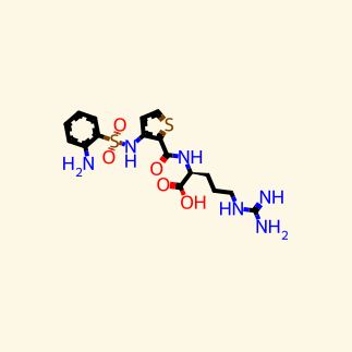 N=C(N)NCCC[C@H](NC(=O)c1sccc1NS(=O)(=O)c1ccccc1N)C(=O)O